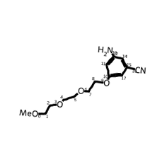 COCCOCCOCCOc1cc(N)cc(C#N)c1